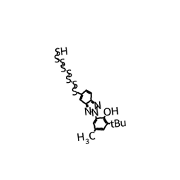 Cc1cc(-n2nc3ccc(SSSSSSSS)cc3n2)c(O)c(C(C)(C)C)c1